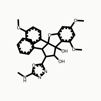 CNc1nnc(C2C(O)C3(O)c4c(OC)cc(OC)cc4OC3(c3ccc(OC)cc3)C2c2ccccc2)o1